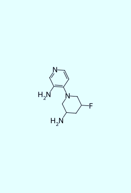 Nc1cnccc1N1CC(N)CC(F)C1